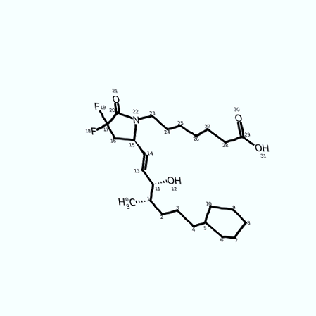 C[C@@H](CCCC1CCCCC1)[C@@H](O)C=C[C@H]1CC(F)(F)C(=O)N1CCCCCCC(=O)O